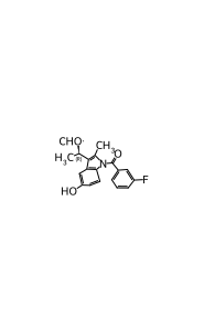 Cc1c([C@@H](C)[C]=O)c2cc(O)ccc2n1C(=O)c1cccc(F)c1